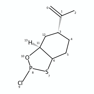 C=C(C)[C@@H]1CCC2SP(Cl)O[C@H]2C1